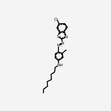 CCCCCCCCNc1ccc(/N=N/c2nc3ccc(Cl)cc3s2)c(C)c1